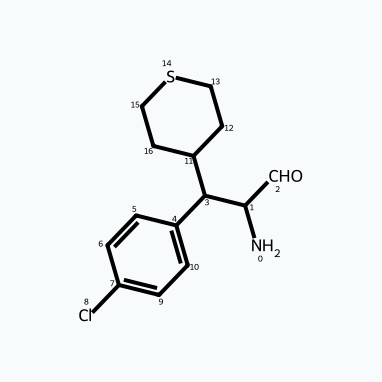 NC(C=O)C(c1ccc(Cl)cc1)C1CCSCC1